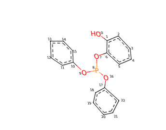 Oc1ccccc1OP(Oc1ccccc1)Oc1ccccc1